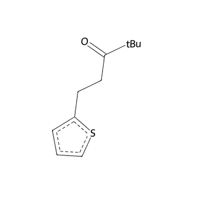 CC(C)(C)C(=O)CCc1cccs1